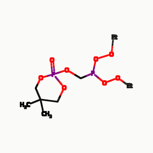 CCOOP(COP1(=O)OCC(C)(C)CO1)OOCC